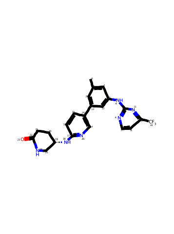 Cc1cc(Nc2nccc(C(F)(F)F)n2)cc(-c2ccc(N[C@H]3CCC(=O)NC3)nc2)c1